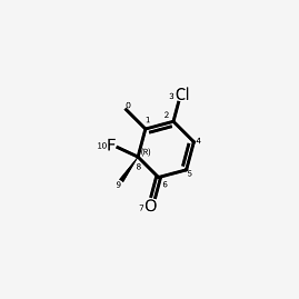 CC1=C(Cl)C=CC(=O)[C@]1(C)F